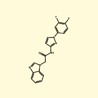 O=C(Cn1cnc2ccccc21)Nc1ccn(-c2ccc(F)c(F)c2)n1